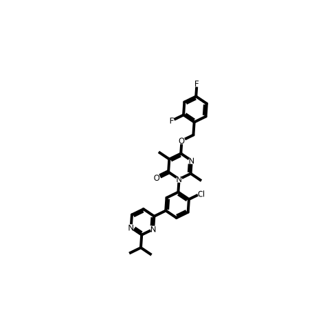 Cc1c(OCc2ccc(F)cc2F)nc(C)n(-c2cc(-c3ccnc(C(C)C)n3)ccc2Cl)c1=O